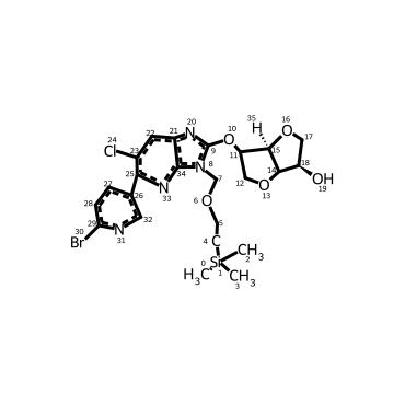 C[Si](C)(C)CCOCn1c(OC2COC3[C@@H]2OC[C@H]3O)nc2cc(Cl)c(-c3ccc(Br)nc3)nc21